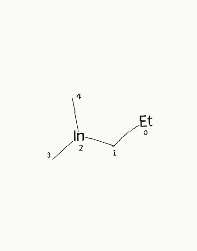 CC[CH2][In]([CH3])[CH3]